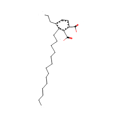 CCCCCCCCCCCCCCc1c(CCC)ccc(C(=O)O)c1C(=O)O